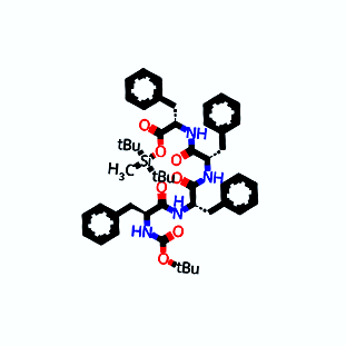 CC(C)(C)OC(=O)N[C@@H](Cc1ccccc1)C(=O)N[C@@H](Cc1ccccc1)C(=O)N[C@@H](Cc1ccccc1)C(=O)N[C@@H](Cc1ccccc1)C(=O)O[Si](C)(C(C)(C)C)C(C)(C)C